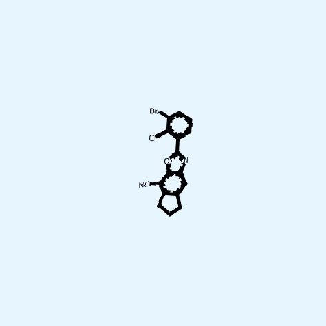 N#Cc1c2c(cc3nc(-c4cccc(Br)c4Cl)oc13)CCC2